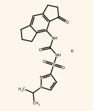 CC(C)n1ccc(S(=O)(=O)NC(=O)Nc2c3c(cc4c2C(=O)CC4)CCC3)n1.[K]